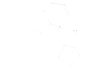 COC1(OC2CCCC2)C=CC=CC1CCC(=O)O